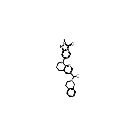 Cn1nc2cc(N3CCCc4cc(C(=O)N5CCc6ccccc6C5)cnc43)ccn2c1=O